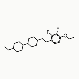 CCOc1ccc(CCC2CCC(C3CCC(CC)CC3)CC2)c(F)c1F